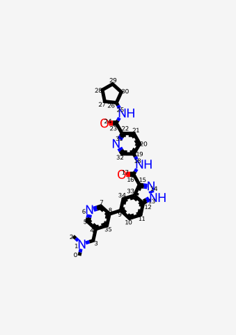 CN(C)Cc1cncc(-c2ccc3[nH]nc(C(=O)Nc4ccc(C(=O)NC5CCCC5)nc4)c3c2)c1